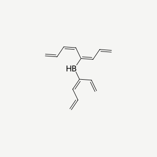 C=C/C=C\C(B/C(C=C)=C/C=C)=C/C=C